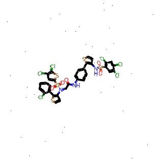 O=C(CN(c1ccsc1-c1ccccc1Cl)S(=O)(=O)c1cc(Cl)c(Cl)s1)Nc1ccc(-c2sccc2NS(=O)(=O)c2cc(Cl)c(Cl)cc2Cl)cc1